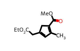 CCOC(=O)CC1=CC(C)=C(C(=O)OC)C1